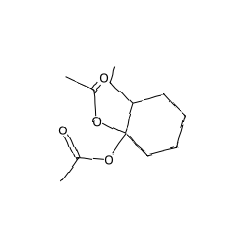 CCC1CCCCC1(OC(C)=O)OC(C)=O